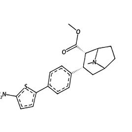 COC(=O)[C@@H]1C2CCC(C[C@@H]1c1ccc(-c3ccc(N)s3)cc1)N2C